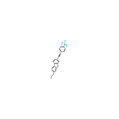 CCCc1ccc2c(c1)Cc1cc(C#Cc3ccc(C(F)(F)F)cc3)ccc1-2